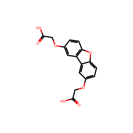 O=C(O)COc1ccc2oc3ccc(OCC(=O)O)cc3c2c1